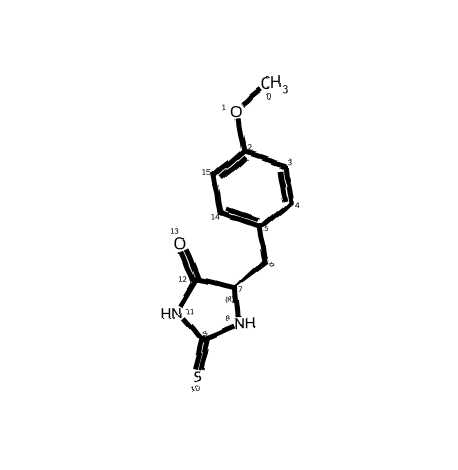 COc1ccc(C[C@H]2NC(=S)NC2=O)cc1